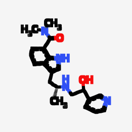 C[C@H](Cc1c[nH]c2c(C(=O)N(C)C)cccc12)NCC(O)c1cccnc1